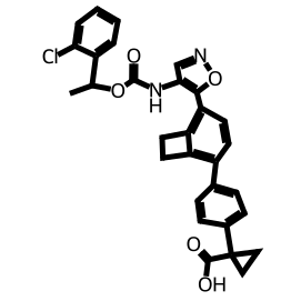 CC(OC(=O)Nc1cnoc1-c1ccc(-c2ccc(C3(C(=O)O)CC3)cc2)c2c1CC2)c1ccccc1Cl